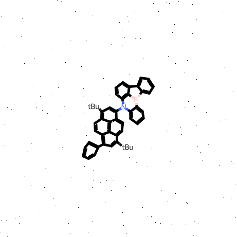 CC(C)(C)c1cc(-c2ccccc2)c2ccc3c(C(C)(C)C)cc(N4c5ccccc5B5c6ccccc6-c6cccc4c65)c4ccc1c2c43